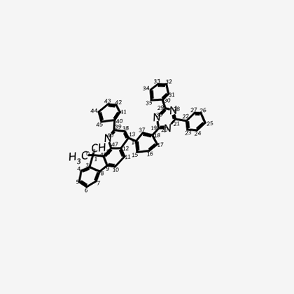 CC1(C)c2ccccc2-c2ccc3c(-c4cccc(-c5nc(-c6ccccc6)nc(-c6ccccc6)n5)c4)cc(-c4ccccc4)nc3c21